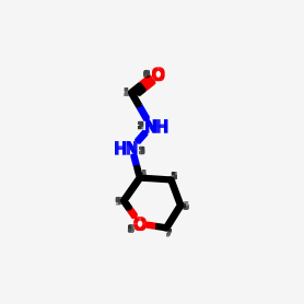 O=CNNC1CCCOC1